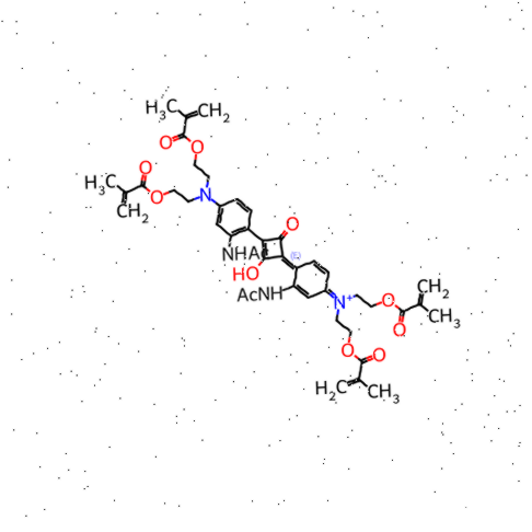 C=C(C)C(=O)OCCN(CCOC(=O)C(=C)C)c1ccc(C2=C(O)/C(=C3/C=CC(=[N+](CCOC(=O)C(=C)C)CCOC(=O)C(=C)C)C=C3NC(C)=O)C2=O)c(NC(C)=O)c1